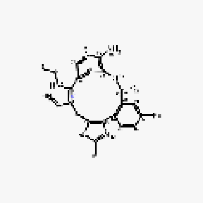 CCN/C1=C(\C=N)Cc2oc(C)nc2-c2ccc(F)cc2[C@@H](C)Oc2cc1cnc2N